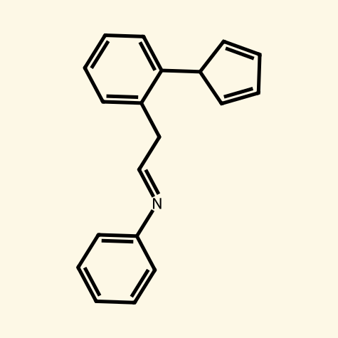 C1=CC(c2ccccc2CC=Nc2ccccc2)C=C1